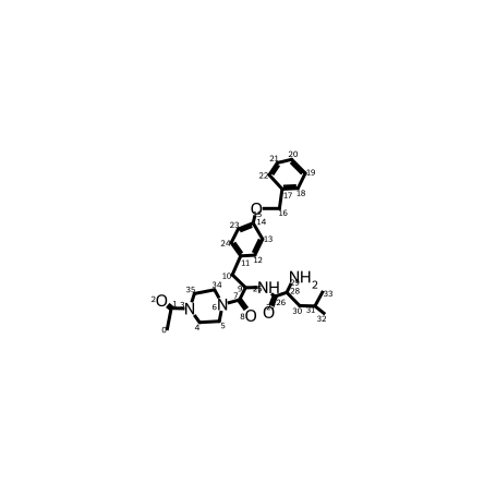 CC(=O)N1CCN(C(=O)C(Cc2ccc(OCc3ccccc3)cc2)NC(=O)C(N)CC(C)C)CC1